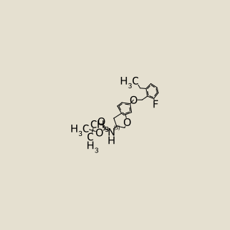 CCc1cccc(F)c1COc1ccc2c(c1)OC[C@@H](NC(=O)OC(C)(C)C)C2